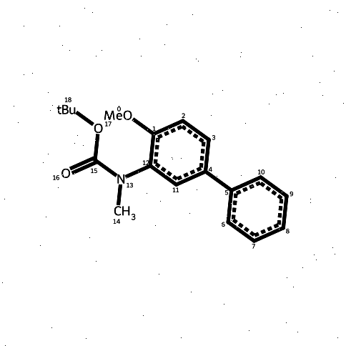 COc1ccc(-c2ccccc2)cc1N(C)C(=O)OC(C)(C)C